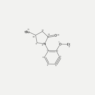 CCOc1c#cccc1N1CC(C(C)(C)C)CC1=O